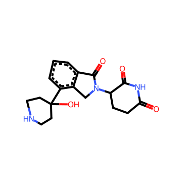 O=C1CCC(N2Cc3c(cccc3C3(O)CCNCC3)C2=O)C(=O)N1